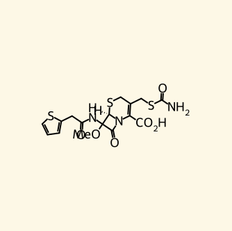 COC1(NC(=O)Cc2cccs2)C(=O)N2C(C(=O)O)=C(CSC(N)=O)CS[C@@H]21